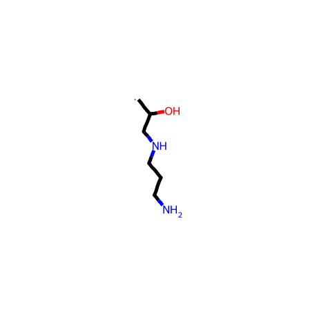 [CH2]C(O)CNCCCN